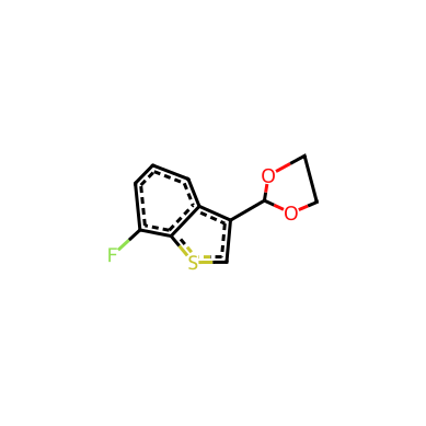 Fc1cccc2c(C3OCCO3)csc12